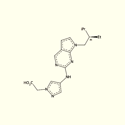 CC[C@@H](Cn1ccc2cnc(Nc3cnn(CC(=O)O)c3)nc21)C(C)C